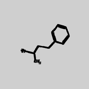 C[C](C)C(C)CCc1ccccc1